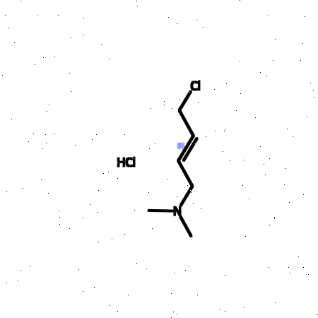 CN(C)C/C=C/CCl.Cl